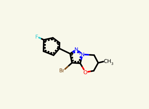 CC1COc2c(Br)c(-c3ccc(F)cc3)nn2C1